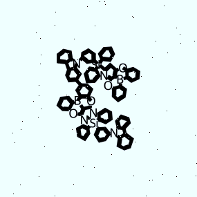 c1ccc([Si](c2ccccc2)(c2cccc(-n3c4ccccc4c4ccc(-c5ccc6c(c5)B5c7ccccc7Oc7nc([Si](c8ccccc8)(c8ccccc8)c8cccc(-n9c%10ccccc%10c%10ccccc%109)c8)nc(c75)O6)cc43)c2)c2cc3c4c(n2)Oc2ccccc2B4c2ccccc2O3)cc1